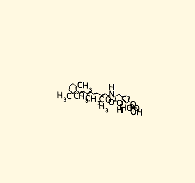 CC1=C(/C=C/C(C)=C/C=C/C(C)=C/C(=O)N[C@@H](Cc2ccc(OP(=O)(O)O)cc2)C(=O)O)C(C)(C)CCC1